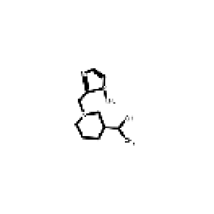 CC(C)[C@H]1CCCN(Cc2nccn2C)C1